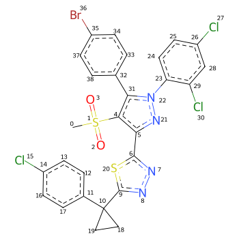 CS(=O)(=O)c1c(-c2nnc(C3(c4ccc(Cl)cc4)CC3)s2)nn(-c2ccc(Cl)cc2Cl)c1-c1ccc(Br)cc1